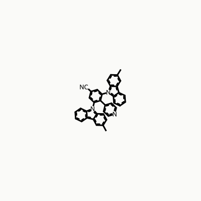 Cc1ccc2c(c1)c1ccccc1n2-c1cc(C#N)cc(-n2c3ccccc3c3cc(C)ccc32)c1-c1ccncc1